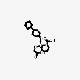 O=C1COC[C@@]2(CCCN(C(=O)O)[C@H]2COC2CCC(c3ccccc3)CC2)N1